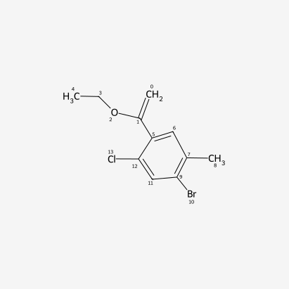 C=C(OCC)c1cc(C)c(Br)cc1Cl